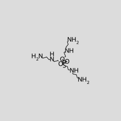 NCCCNCCOP(=O)(OCCNCCCN)SCCNCCCN